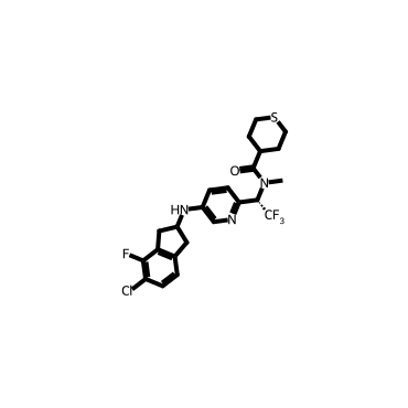 CN(C(=O)C1CCSCC1)[C@@H](c1ccc(NC2Cc3ccc(Cl)c(F)c3C2)cn1)C(F)(F)F